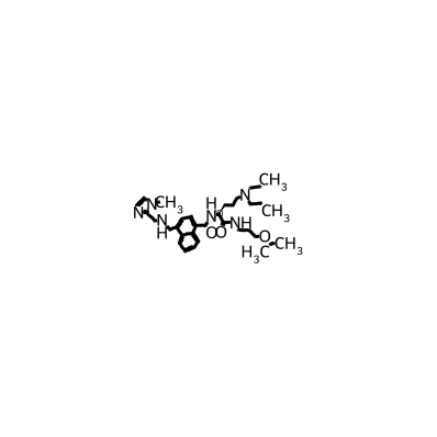 CCCN(CCC)CCC[C@H](NC(=O)c1ccc(CNCc2nccn2C)c2ccccc12)C(=O)NCCCOC(C)C